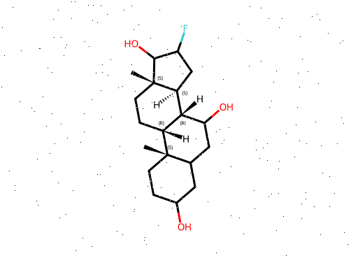 C[C@]12CCC(O)CC1CC(O)[C@@H]1[C@H]2CC[C@]2(C)C(O)C(F)C[C@@H]12